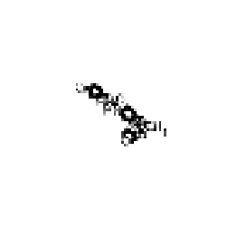 CN(Cc1ccc(NC(=O)NCc2ccc(Cl)cc2)cc1)S(=O)(=O)C1CCOCC1